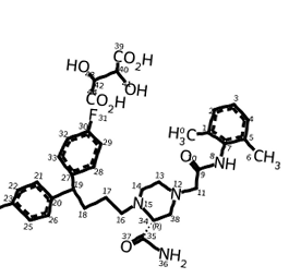 Cc1cccc(C)c1NC(=O)CN1CCN(CCCC(c2ccc(F)cc2)c2ccc(F)cc2)[C@@H](C(N)=O)C1.O=C(O)C(O)C(O)C(=O)O